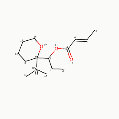 [CH2]CC(OC(=O)C=CC)C1([SiH](C)C)CCCCO1